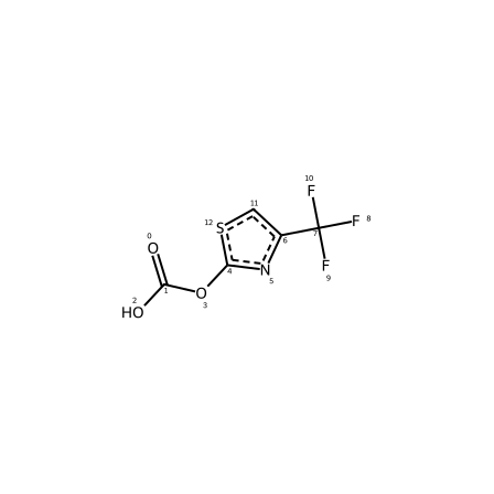 O=C(O)Oc1nc(C(F)(F)F)cs1